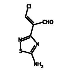 Nc1nc(C(C=O)=CCl)ns1